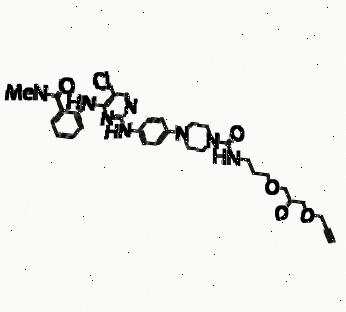 C#CCOCC(=O)COCCCNC(=O)N1CCN(c2ccc(Nc3ncc(Cl)c(Nc4ccccc4C(=O)NC)n3)cc2)CC1